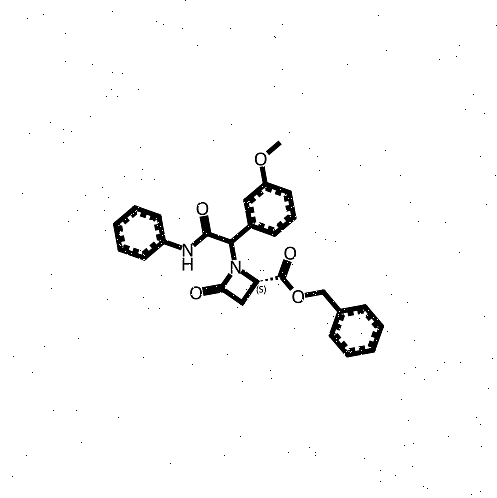 COc1cccc(C(C(=O)Nc2ccccc2)N2C(=O)C[C@H]2C(=O)OCc2ccccc2)c1